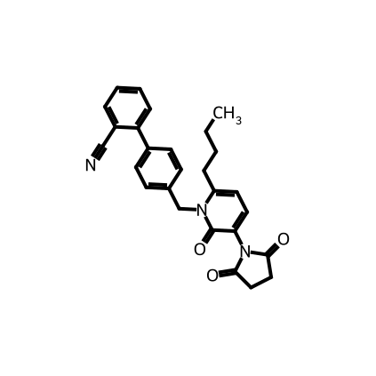 CCCCc1ccc(N2C(=O)CCC2=O)c(=O)n1Cc1ccc(-c2ccccc2C#N)cc1